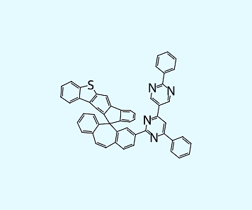 C1=Cc2ccc(-c3nc(-c4ccccc4)cc(-c4cnc(-c5ccccc5)nc4)n3)cc2C2(c3ccccc31)c1ccccc1-c1cc3sc4ccccc4c3cc12